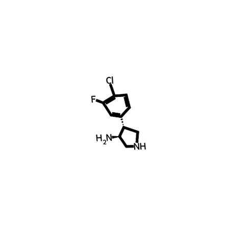 N[C@@H]1CNC[C@H]1c1ccc(Cl)c(F)c1